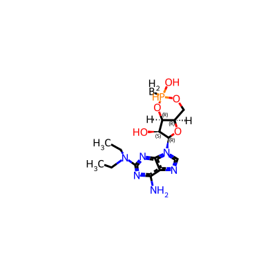 B[PH]1(O)OC[C@H]2O[C@@H](n3cnc4c(N)nc(N(CC)CC)nc43)[C@@H](O)[C@H]2O1